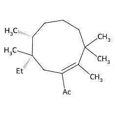 CC[C@@]1(C)C/C(C(C)=O)=C(/C)C(C)(C)CCC[C@H]1C